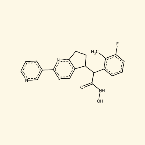 Cc1c(F)cccc1C(C(=O)NO)C1CCc2nc(-c3cccnc3)ncc21